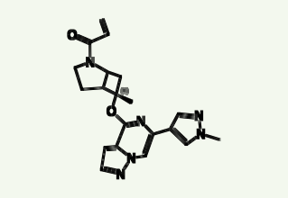 C=CC(=O)N1CCC2C1C[C@]2(C)Oc1nc(-c2cnn(C)c2)cn2nccc12